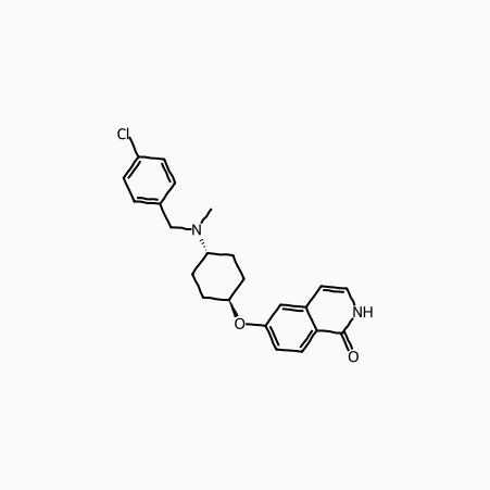 CN(Cc1ccc(Cl)cc1)[C@H]1CC[C@H](Oc2ccc3c(=O)[nH]ccc3c2)CC1